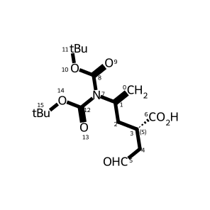 C=C(C[C@@H](CC=O)C(=O)O)N(C(=O)OC(C)(C)C)C(=O)OC(C)(C)C